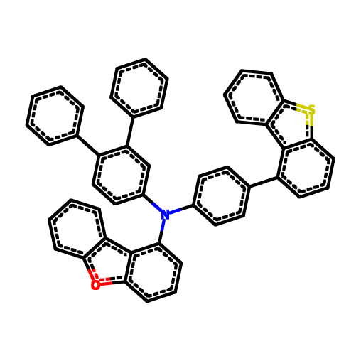 c1ccc(-c2ccc(N(c3ccc(-c4cccc5sc6ccccc6c45)cc3)c3cccc4oc5ccccc5c34)cc2-c2ccccc2)cc1